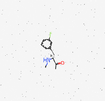 CN[C@H](Cc1cccc(F)c1)C(C)=O